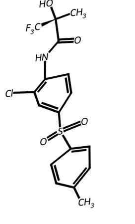 Cc1ccc(S(=O)(=O)c2ccc(NC(=O)[C@@](C)(O)C(F)(F)F)c(Cl)c2)cc1